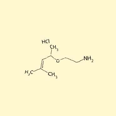 CC(C)=CC(C)OCCN.Cl